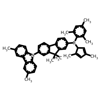 CC1=CC(B(c2ccc3c(c2)C(C)(C)c2cc(-n4c5ccc(C)cc5c5cc(C)ccc54)ccc2-3)c2c(C)cc(C)cc2C)C(C)=C1